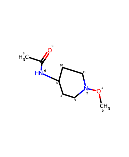 CON1CCC(NC(C)=O)CC1